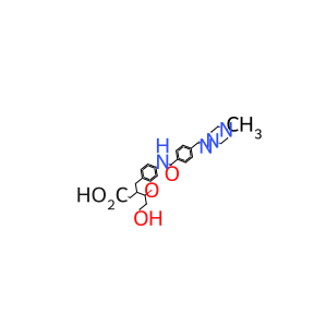 CN1CCN(N=Cc2ccc(C(=O)Nc3ccc4c(c3)OC(CCO)C(CC(=O)O)C4)cc2)CC1